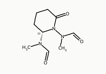 CN(C=O)[C@@H]1CCCC(=O)N1N(C)C=O